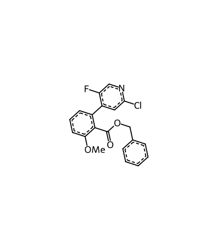 COc1cccc(-c2cc(Cl)ncc2F)c1C(=O)OCc1ccccc1